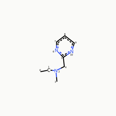 CCN(C)Cc1ncccn1